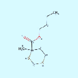 CCCCOC(=O)C1(C)CCS[CH]S1